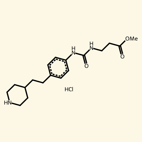 COC(=O)CCNC(=O)Nc1ccc(CCC2CCNCC2)cc1.Cl